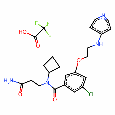 NC(=O)CCN(C(=O)c1cc(Cl)cc(OCCNc2ccncc2)c1)C1CCC1.O=C(O)C(F)(F)F